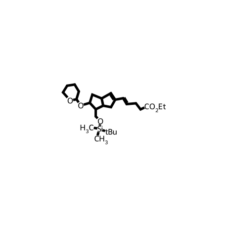 CCOC(=O)CCC=CC1=CC2CC(OC3CCCCO3)C(CO[Si](C)(C)C(C)(C)C)C2C1